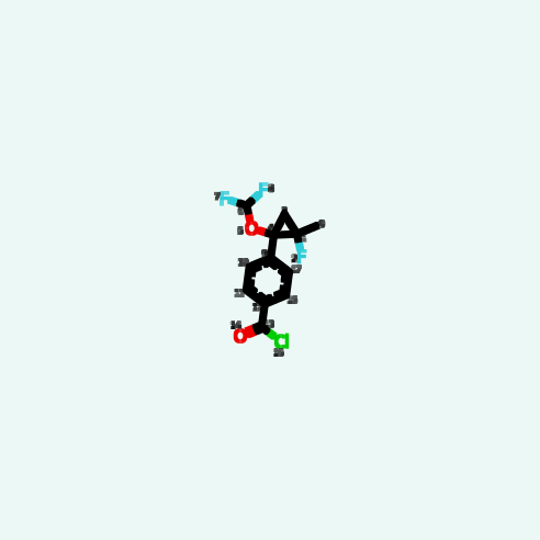 CC1(F)CC1(OC(F)F)c1ccc(C(=O)Cl)cc1